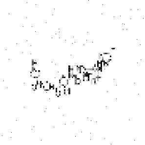 Cn1c(-c2cn(-c3ncc(F)cn3)nc2C(F)(F)F)cnc1C(=O)Nc1ccc(C(=O)N2CCN(C(=O)C3CCNCC3)CC2)c(Cl)c1